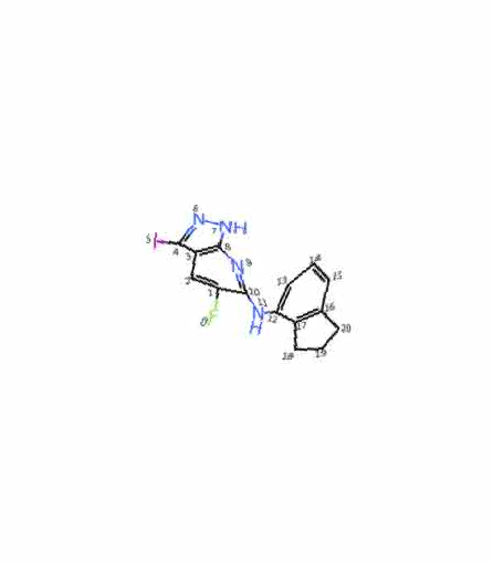 Fc1cc2c(I)n[nH]c2nc1Nc1cccc2c1CCC2